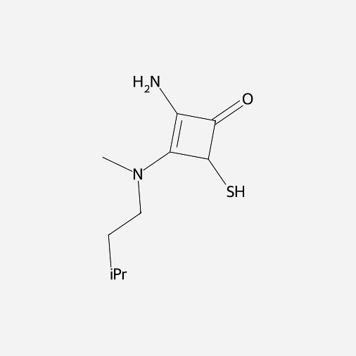 CC(C)CCN(C)C1=C(N)C(=O)C1S